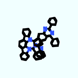 c1ccc(-c2cccc(-n3c4ccccc4c4ccc5c6ccccc6n(-c6nc(-c7ccc8nc(-c9ccccc9)nc(-c9ccccc9)c8c7)nc7ccccc67)c5c43)c2)cc1